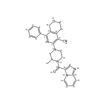 CC1CN(c2nc(-c3ccccc3)c3c(c2C#N)CCOC3)CCN1C(=O)c1cnc2ccccn12